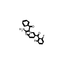 Nc1nc2ccc(C(=O)c3c(F)cccc3F)cn2c1C(=O)c1ccccc1